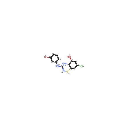 Oc1cc(Cl)cc2c1NC(Nc1cccc(Br)c1)=NS2